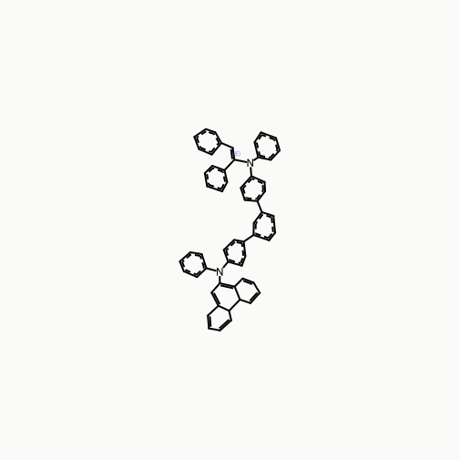 C1=CC2=CC(N(c3ccccc3)c3ccc(-c4cccc(-c5ccc(N(/C(=C/c6ccccc6)c6ccccc6)c6ccccc6)cc5)c4)cc3)=C3C=CC=CC3C2C=C1